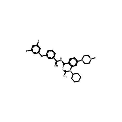 CN1CCN(c2ccc(C(=O)NC(=N)c3cccc(Cc4cc(F)cc(F)c4)c3)c(N(C(=O)C(F)(F)F)C3CCOCC3)c2)CC1